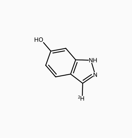 [2H]c1n[nH]c2cc(O)ccc12